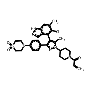 C=CC(=O)N1CCC(n2nc(-c3ccc(N4CCS(=O)(=O)CC4)cc3)c(-c3c(Cl)c(C)cc4[nH]ncc34)c2C)CC1